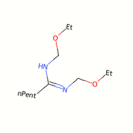 CCCCCC(=NCOCC)NCOCC